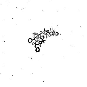 C=C[C@@H]1C[C@]1(NC(=O)[C@@H]1C[C@@]2(CN1C(=O)[C@@H](NC(=O)C(NC(=O)c1cnc3ccccc3c1)C1CCCCC1)C(C)(C)C)C(C)(C)C21CCC1)C(=O)NS(=O)(=O)N1CCCC1